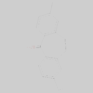 CCCc1ccc2c(c1)CCc1cc(C)ccc1C2=O